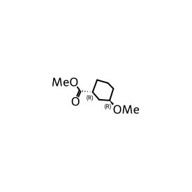 COC(=O)[C@@H]1CCC[C@@H](OC)C1